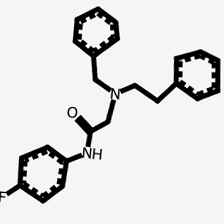 O=C(CN(CCc1ccccc1)Cc1ccccc1)Nc1ccc(F)cc1